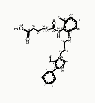 CCc1c(-c2ccccc2)ncn1CCCOc1cccc(C)c1NC(=O)NCCCC(=O)O